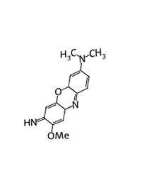 COC1=CC2N=C3C=CC(N(C)C)=CC3OC2=CC1=N